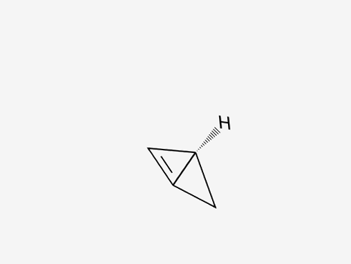 C1=C2C[C@H]12